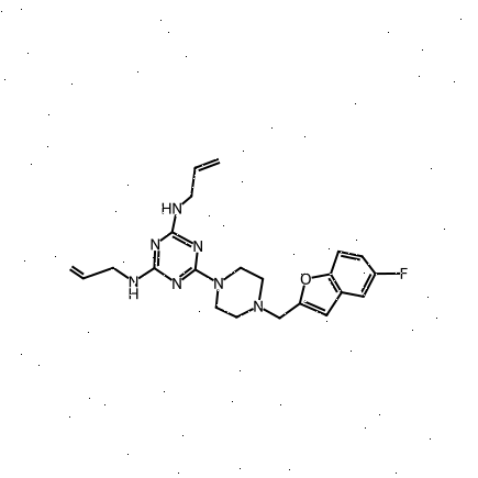 C=CCNc1nc(NCC=C)nc(N2CCN(Cc3cc4cc(F)ccc4o3)CC2)n1